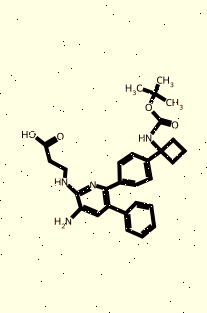 CC(C)(C)OC(=O)NC1(c2ccc(-c3nc(NCCC(=O)O)c(N)cc3-c3ccccc3)cc2)CCC1